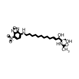 CC(=O)N[C@@H](CO)[C@H](O)/C=C/CCCCCCCCCNc1ccc([N+](=O)[O-])c2nonc12